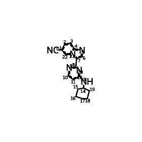 N#Cc1ccc2ncc(-c3nccc(NC4CCCCC4)n3)n2c1